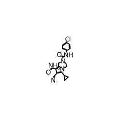 N#Cc1c(C(N)=O)c2n(c1C1CC1)CCN(C(=O)Nc1ccc(Cl)cc1)C2